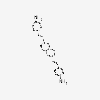 Nc1ccc(/C=C/c2ccc3cc(/C=C/c4ccc(N)cc4)ccc3c2)cc1